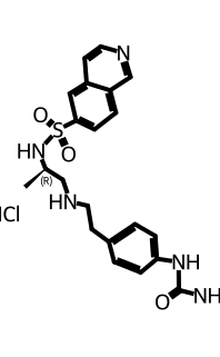 C[C@H](CNCCc1ccc(NC(N)=O)cc1)NS(=O)(=O)c1ccc2cnccc2c1.Cl